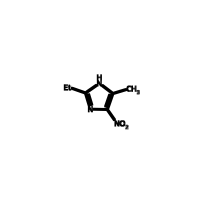 CCc1nc([N+](=O)[O-])c(C)[nH]1